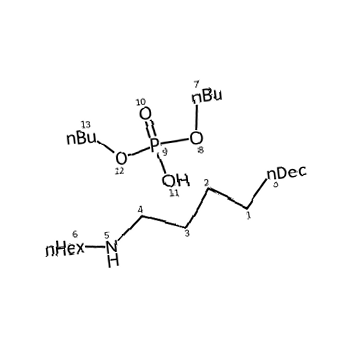 CCCCCCCCCCCCCCNCCCCCC.CCCCOP(=O)(O)OCCCC